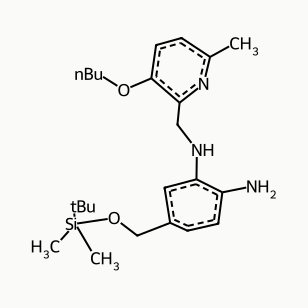 CCCCOc1ccc(C)nc1CNc1cc(CO[Si](C)(C)C(C)(C)C)ccc1N